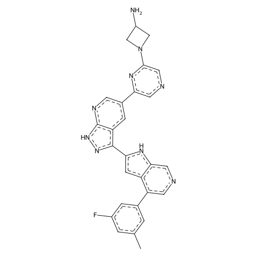 Cc1cc(F)cc(-c2cncc3[nH]c(-c4n[nH]c5ncc(-c6cncc(N7CC(N)C7)n6)cc45)cc23)c1